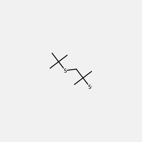 CC(C)([S])CSC(C)(C)C